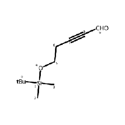 CC(C)(C)[Si](C)(C)OCCC#CC=O